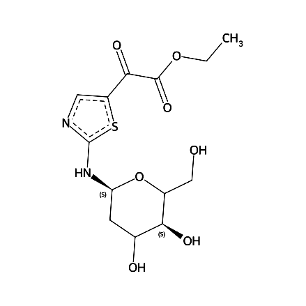 CCOC(=O)C(=O)c1cnc(N[C@@H]2CC(O)[C@H](O)C(CO)O2)s1